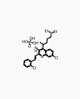 CCN(CC)CCCC(C)c1c(N)c(C=Cc2ccccc2Cl)nc2cc(Cl)ccc12.O=P(O)(O)O